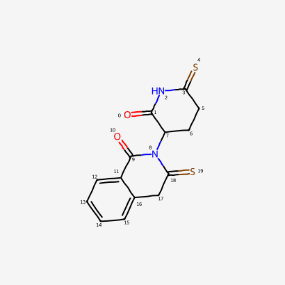 O=C1NC(=S)CCC1N1C(=O)c2ccccc2CC1=S